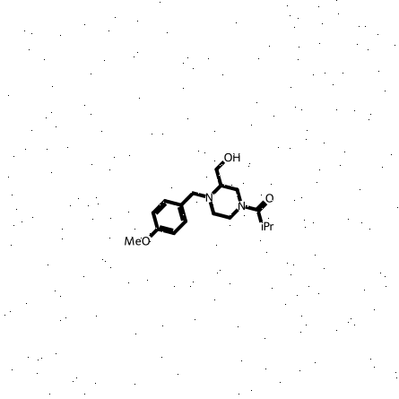 COc1ccc(CN2CCN(C(=O)C(C)C)CC2CO)cc1